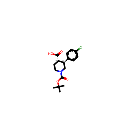 CC(C)(C)OC(=O)N1CC[C@H](C(=O)O)[C@@H](c2ccc(Cl)cc2)C1